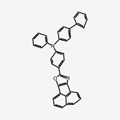 c1ccc(-c2ccc(N(c3ccccc3)c3ccc(-c4nc5c(o4)-c4cccc6cccc-5c46)cc3)cc2)cc1